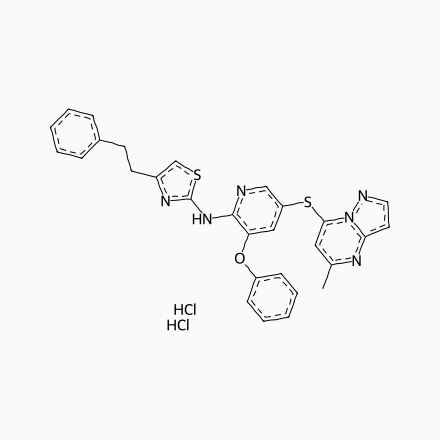 Cc1cc(Sc2cnc(Nc3nc(CCc4ccccc4)cs3)c(Oc3ccccc3)c2)n2nccc2n1.Cl.Cl